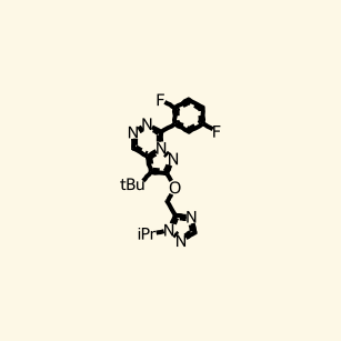 CC(C)n1ncnc1COc1nn2c(-c3cc(F)ccc3F)nncc2c1C(C)(C)C